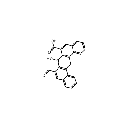 O=Cc1cc2ccccc2c2c1N(O)c1c(C(=O)O)cc3ccccc3c1C2